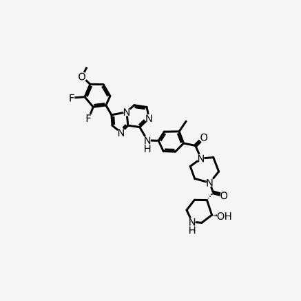 COc1ccc(-c2cnc3c(Nc4ccc(C(=O)N5CCN(C(=O)[C@H]6CCNC[C@H]6O)CC5)c(C)c4)nccn23)c(F)c1F